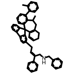 Cc1ccccc1-c1cccc2c1C(C)CC1=C(C=CCC1)C21c2ccccc2-c2ccc(C/C=C(\CNCc3ccccc3)c3ccccc3)cc21